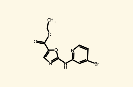 CCOC(=O)c1cnc(Nc2cc(Br)ccn2)o1